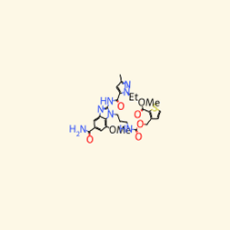 CCn1nc(C)cc1C(=O)Nc1nc2cc(C(N)=O)cc(OC)c2n1CCCNC(=O)OCc1ccsc1C(=O)OC